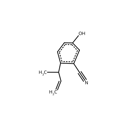 C=CC(C)c1ccc(O)cc1C#N